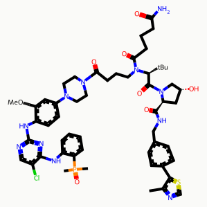 COc1cc(N2CCN(C(=O)CCCN(C(=O)CCCC(N)=O)[C@H](C(=O)N3C[C@H](O)C[C@H]3C(=O)NCc3ccc(-c4scnc4C)cc3)C(C)(C)C)CC2)ccc1Nc1ncc(Cl)c(Nc2ccccc2P(C)(C)=O)n1